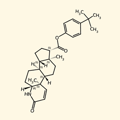 CC(C)(C)c1ccc(OC(=O)[C@H]2CC[C@H]3[C@@H]4CC[C@H]5NC(=O)C=C[C@]5(C)[C@H]4CC[C@]23C)cc1